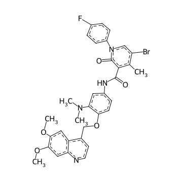 COc1cc2nccc(COc3ccc(NC(=O)c4c(C)c(Br)cn(-c5ccc(F)cc5)c4=O)cc3N(C)C)c2cc1OC